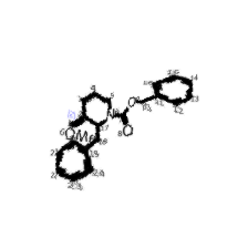 CO/C=C1/CCCN(C(=O)OCc2ccccc2)C1Cc1ccccc1